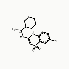 C[C@@H](NC1=NS(=O)(=O)c2cc(Cl)ccc2N1)C1CCCCC1